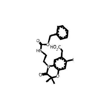 CC1(C)Oc2cc(I)c(CC(=O)O)cc2N(CCNC(=O)OCc2ccccc2)C1=O